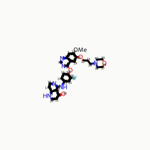 COc1cc2ncnc(Oc3ccc(Nc4nccc5[nH]ccc(=O)c45)cc3F)c2cc1OCCCN1CCOCC1